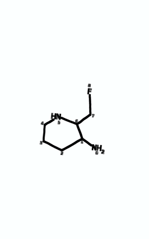 NC1CCCNC1CF